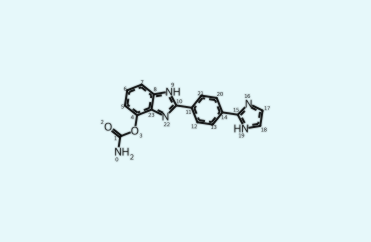 NC(=O)Oc1cccc2[nH]c(-c3ccc(-c4ncc[nH]4)cc3)nc12